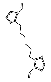 C=Cn1ccnc1CCCCCCc1nccn1C=C